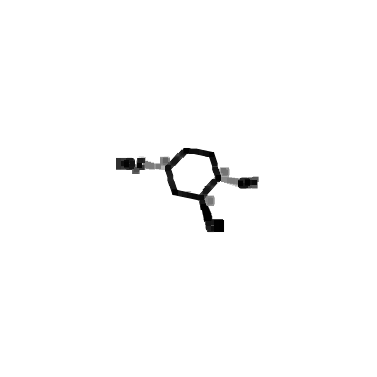 O=C(O)[C@@H]1CC[C@H](O)[C@@H](O)C1